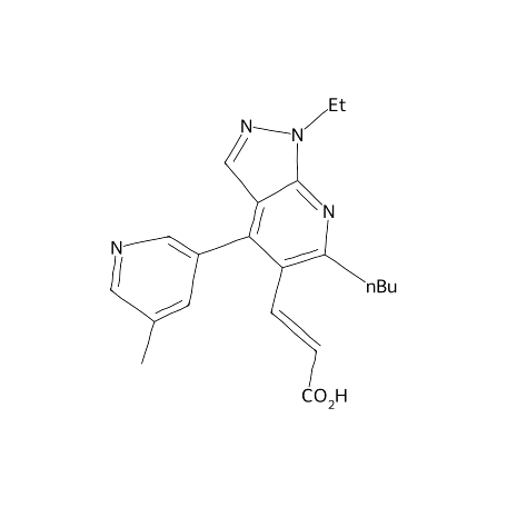 CCCCc1nc2c(cnn2CC)c(-c2cncc(C)c2)c1/C=C/C(=O)O